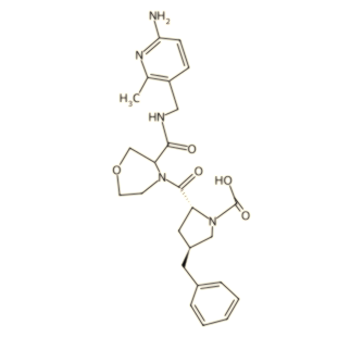 Cc1nc(N)ccc1CNC(=O)C1COCCN1C(=O)[C@H]1C[C@H](Cc2ccccc2)CN1C(=O)O